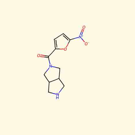 O=C(c1ccc([N+](=O)[O-])o1)N1CC2CNCC2C1